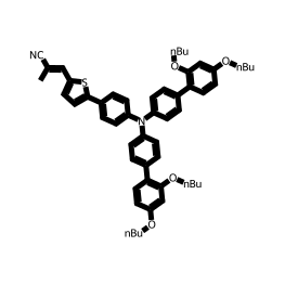 CCCCOc1ccc(-c2ccc(N(c3ccc(-c4ccc(/C=C(\C)C#N)s4)cc3)c3ccc(-c4ccc(OCCCC)cc4OCCCC)cc3)cc2)c(OCCCC)c1